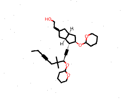 CCC#CCC(C)(C)[C@@H](C#C[C@@H]1[C@H]2CC(=CCO)C[C@H]2C[C@H]1OC1CCCCO1)OC1CCCCO1